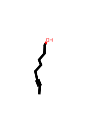 CC#CCCCCCO